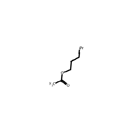 CC(C)CCCOC(=O)C(F)(F)F